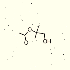 CC([O])OC(C)(C)CO